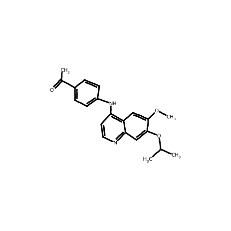 COc1cc2c(Nc3ccc(C(C)=O)cc3)ccnc2cc1OC(C)C